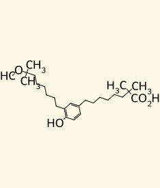 CC(C)(CCCCCCc1cc(CCCCCCC(C)(C)C(=O)O)ccc1O)OC=O